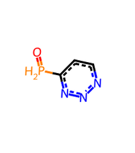 O=[PH2]c1ccnnn1